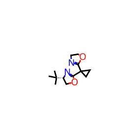 CC(C)(C)[C@H]1COC(C2(C3=NCCO3)CC2)=N1